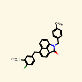 CCOC(=O)c1cc(Cc2ccc3c4c(cccc24)N(Cc2ccc(OC)cc2)C3=O)ccc1F